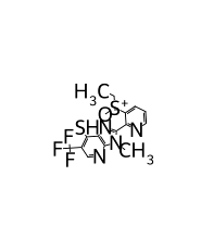 CC[S+]([O-])c1cccnc1-c1nc2c(S)c(C(F)(F)F)cnc2n1C